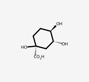 O=C(O)[C@]1(O)CC[C@@H](O)[C@H](O)C1